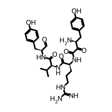 CC(C)[C@H](NC(=O)[C@H](CCCNC(=N)N)NC(=O)C(=O)[C@@H](N)Cc1ccc(O)cc1)C(=O)N[C@H](C=O)Cc1ccc(O)cc1